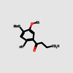 CCCc1cc(OC)c(OCC)cc1C(=O)CCC(=O)O